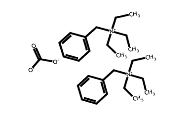 CC[N+](CC)(CC)Cc1ccccc1.CC[N+](CC)(CC)Cc1ccccc1.O=C([O-])[O-]